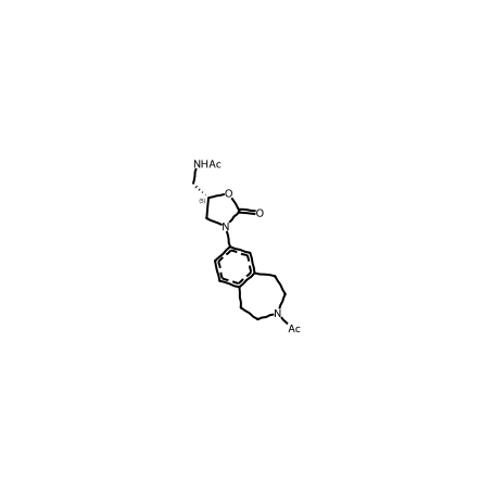 CC(=O)NC[C@H]1CN(c2ccc3c(c2)CCN(C(C)=O)CC3)C(=O)O1